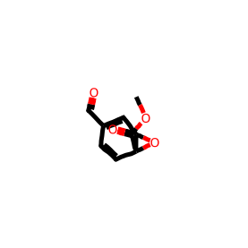 COC(=O)C12C=CC(C=O)=CC1O2